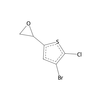 Clc1sc(C2CO2)cc1Br